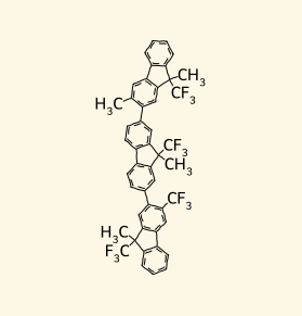 Cc1cc2c(cc1-c1ccc3c(c1)C(C)(C(F)(F)F)c1cc(-c4cc5c(cc4C(F)(F)F)-c4ccccc4C5(C)C(F)(F)F)ccc1-3)C(C)(C(F)(F)F)c1ccccc1-2